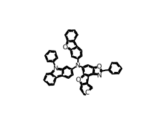 c1ccc(-c2nc3c(cc(N(c4ccc5c(c4)oc4ccccc45)c4ccc5c6ccccc6n(-c6ccccc6)c5c4)c4oc5ccccc5c43)o2)cc1